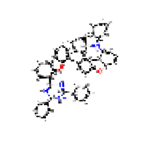 C1=CC2Oc3ccc(-c4cccc5c4oc4c(C6=NC(c7ccccc7)NC(c7ccccc7)=N6)cccc45)cc3C2C(n2c3ccccc3c3ccccc32)=C1